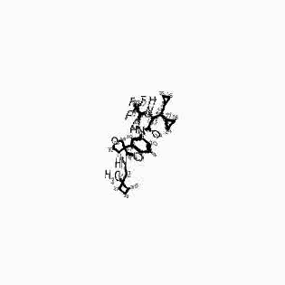 CC1(CNC(=O)C2(c3cccc(NC(=O)[C@@H](NC(=O)C(F)(F)F)C(C4CC4)C4CC4)c3)CCOC2)CCC1